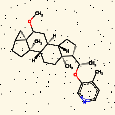 COC1C[C@H]2[C@@H]3CC[C@H]([C@H](C)Oc4cnccc4C)[C@@]3(C)CC[C@@H]2[C@@]2(C)CCC3C[C@]312